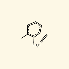 C=C.Cc1ccccc1S(=O)(=O)O